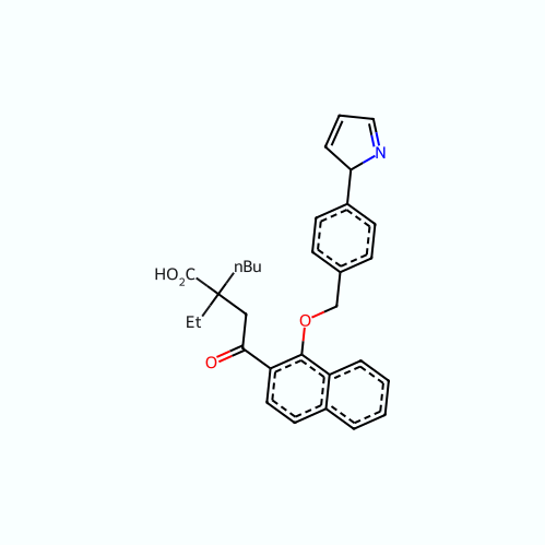 CCCCC(CC)(CC(=O)c1ccc2ccccc2c1OCc1ccc(C2C=CC=N2)cc1)C(=O)O